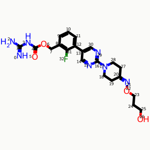 N=C(N)NC(=O)OCc1cccc(-c2cnc(N3CCC(=NOCCCO)CC3)nc2)c1F